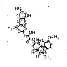 COc1ccc2c3c1O[C@H]1C(OC(=O)[C@@H](O)CC(=O)O[C@@H](C)C(=O)O[C@@H](CC(=O)O)C(=O)O)=CC[C@@]4(O)[C@@H](C2)C(C)CCC314